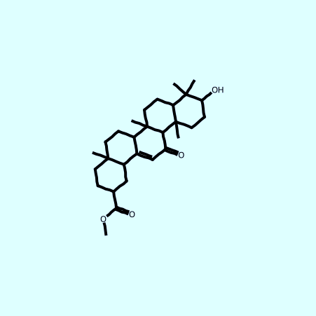 COC(=O)C1CCC2(C)CCC3C(=CC(=O)C4C3(C)CCC3C(C)(C)C(O)CCC34C)C2C1